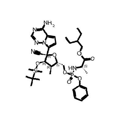 CCC(CC)COC(=O)[C@H](C)N[P@](=O)(OC[C@H]1O[C@@](C#N)(c2ccc3c(N)ncnn23)[C@H](O[Si](C)(C)C(C)(C)C)[C@@H]1C)Oc1ccccc1